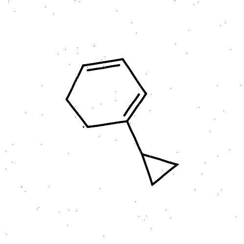 [CH]1CC=CC=C1C1CC1